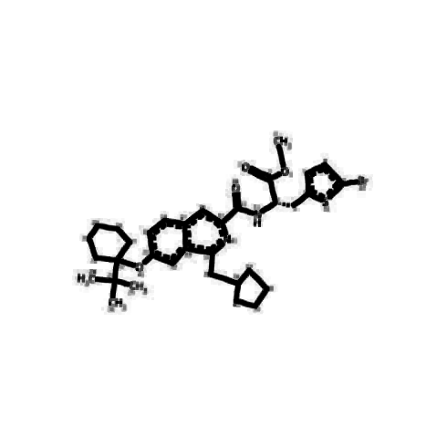 COC(=O)[C@H](Cc1ccc(Br)s1)NC(=O)c1cc2ccc(OC3(C(C)(C)C)CCCCC3)cc2c(CC2CCCC2)n1